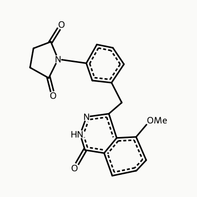 COc1cccc2c(=O)[nH]nc(Cc3cccc(N4C(=O)CCC4=O)c3)c12